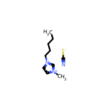 CCCCCn1cc[n+](C)c1.N#C[S-]